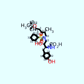 C[C@@H](CCCO[Si](C)(C)C(C)(C)C)CN(C[C@@H](O)[C@H](Cc1ccc(O)cc1)NC(=O)O)S(=O)(=O)c1ccccc1